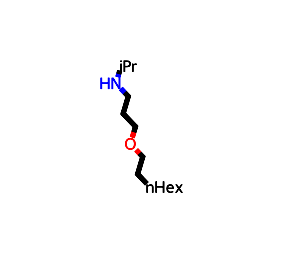 CCCCCCCCOCCCNC(C)C